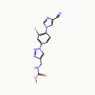 COC(=S)NCc1cn(-c2ccc(-n3cnc(C#N)c3)c(F)c2)nn1